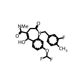 CNC(=O)C1=C(O)c2ccc(OC(F)F)cc2N(Cc2ccc(C)c(F)c2)C(=O)C1